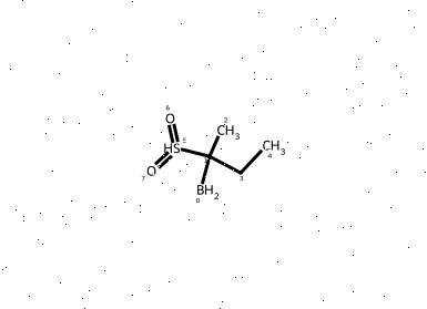 BC(C)(CC)[SH](=O)=O